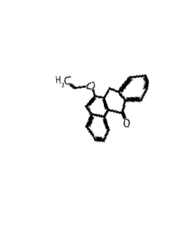 CCOc1cc2ccccc2c2c1Cc1ccccc1C2=O